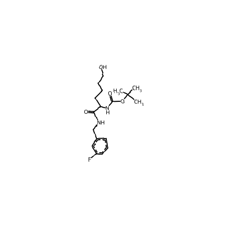 CC(C)(C)OC(=O)NC(CCCCO)C(=O)NCc1cccc(F)c1